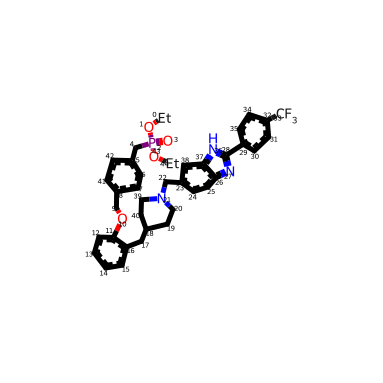 CCOP(=O)(Cc1ccc(COc2ccccc2CC2CCN(Cc3ccc4nc(-c5ccc(C(F)(F)F)cc5)[nH]c4c3)CC2)cc1)OCC